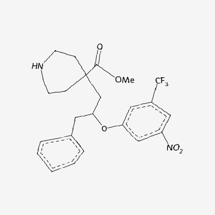 COC(=O)C1(CC(Cc2ccccc2)Oc2cc([N+](=O)[O-])cc(C(F)(F)F)c2)CCNCC1